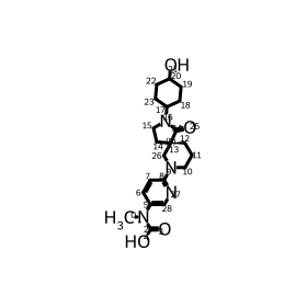 CN(C(=O)O)c1ccc(N2CCC[C@]3(CCN(C4CCC(O)CC4)C3=O)C2)nc1